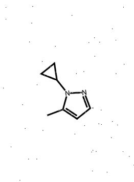 Cc1c[c]nn1C1CC1